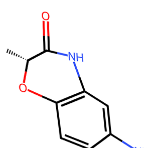 C[C@H]1Oc2ccc([NH])cc2NC1=O